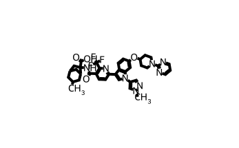 CC1CC2CC(C1)C(NC(=O)c1ccc(-c3cn(-c4cnn(C)c4)c4cc(OC5CCN(c6ncccn6)CC5)ccc34)nc1C(F)(F)F)(C(=O)O)C2